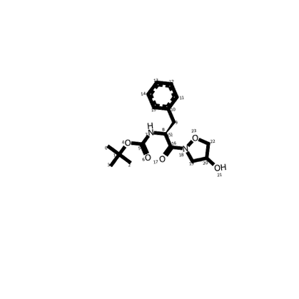 CC(C)(C)OC(=O)N[C@@H](Cc1ccccc1)C(=O)N1CC(O)CO1